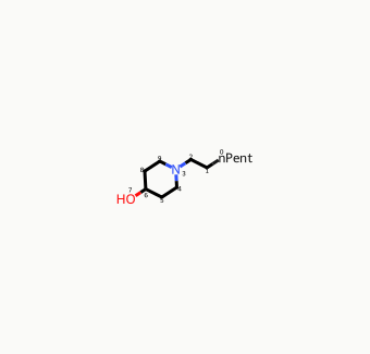 CCCCCCCN1CCC(O)CC1